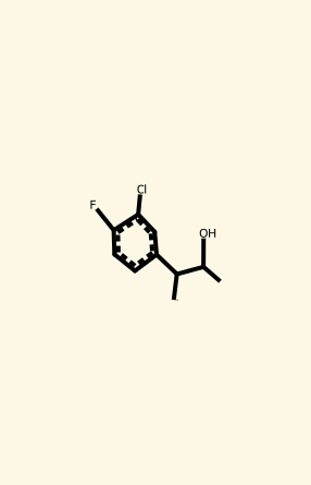 [CH2]C(c1ccc(F)c(Cl)c1)C(C)O